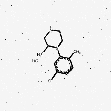 Cc1ccc(Cl)cc1N1CCNCC1C.Cl